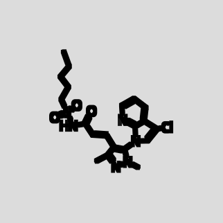 CCCCCS(=O)(=O)NC(=O)C=Cc1c(C)nn(C)c1-n1cc(Cl)c2cccnc21